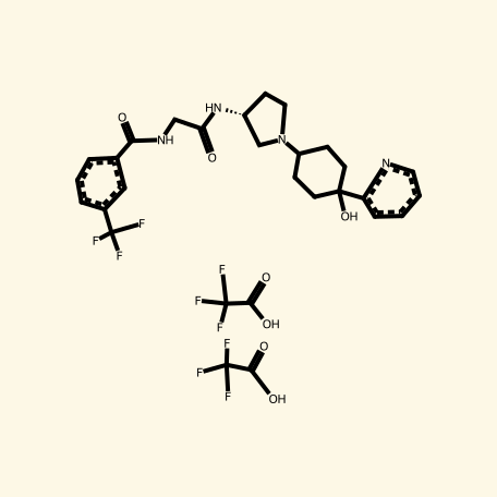 O=C(CNC(=O)c1cccc(C(F)(F)F)c1)N[C@@H]1CCN(C2CCC(O)(c3ccccn3)CC2)C1.O=C(O)C(F)(F)F.O=C(O)C(F)(F)F